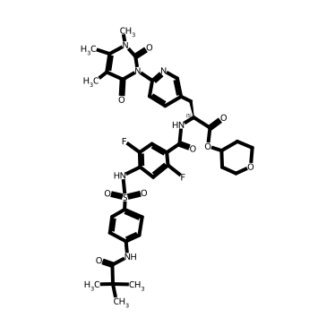 Cc1c(C)n(C)c(=O)n(-c2ccc(C[C@H](NC(=O)c3cc(F)c(NS(=O)(=O)c4ccc(NC(=O)C(C)(C)C)cc4)cc3F)C(=O)OC3CCOCC3)cn2)c1=O